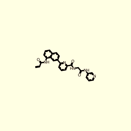 C=CC(=O)Nc1cccc2ccc(-c3cccc(C(=O)NCC(=O)Nc4cccnc4)n3)cc12